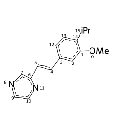 COc1cc(/C=C/c2cnccn2)ccc1C(C)C